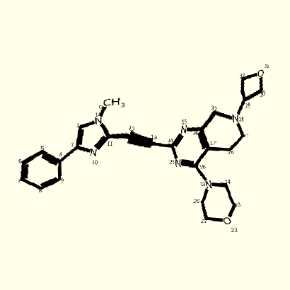 Cn1cc(-c2ccccc2)nc1C#Cc1nc2c(c(N3CCOCC3)n1)CCN(C1COC1)C2